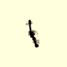 CCn1c(N)c(C(=O)NCCCCCCNC(=O)OC(C)(C)C)c(=O)c2ccc(-c3ccc(NC(=O)NCc4cccnc4)cc3)nc21